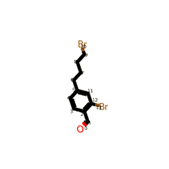 O=Cc1ccc(CCCCBr)cc1Br